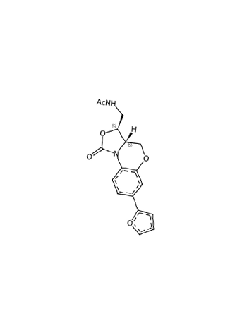 CC(=O)NC[C@@H]1OC(=O)N2c3ccc(-c4ccco4)cc3OC[C@@H]12